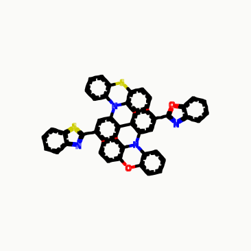 c1ccc2c(c1)Oc1ccccc1N2c1cc(-c2nc3ccccc3o2)ccc1-c1ccc(-c2nc3ccccc3s2)cc1N1c2ccccc2Sc2ccccc21